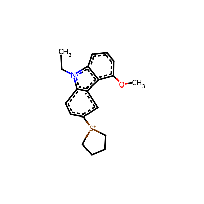 CCn1c2ccc([S+]3CCCC3)cc2c2c(OC)cccc21